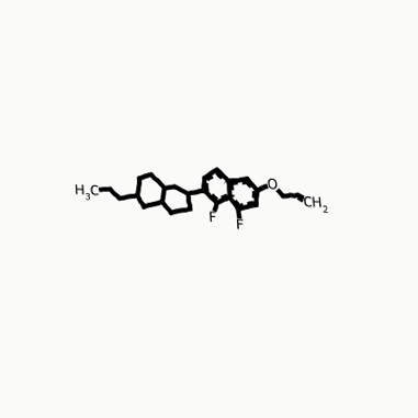 C=CCOc1cc(F)c2c(F)c(C3CCC4CC(CCC)CCC4C3)ccc2c1